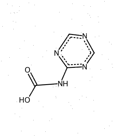 O=C(O)Nc1ncncn1